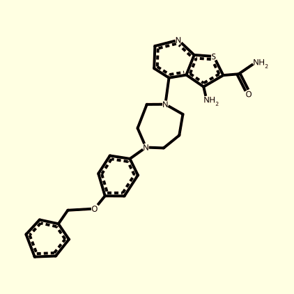 NC(=O)c1sc2nccc(N3CCCN(c4ccc(OCc5ccccc5)cc4)CC3)c2c1N